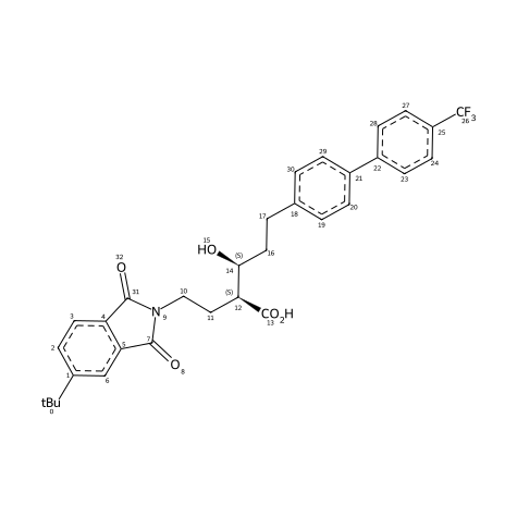 CC(C)(C)c1ccc2c(c1)C(=O)N(CC[C@H](C(=O)O)[C@@H](O)CCc1ccc(-c3ccc(C(F)(F)F)cc3)cc1)C2=O